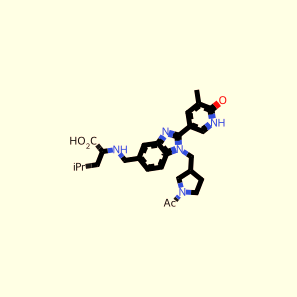 CC(=O)N1CCC(Cn2c(-c3c[nH]c(=O)c(C)c3)nc3cc(CNC(CC(C)C)C(=O)O)ccc32)C1